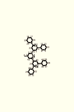 Cc1cc(-c2cc(-c3ccccc3)nc(-c3ccccc3)c2)nc(-c2cc(-c3ccccc3)nc(-c3ccccc3)c2)c1